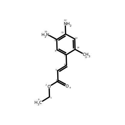 CCOC(=O)/C=C/c1cc(N)c(N)cc1C